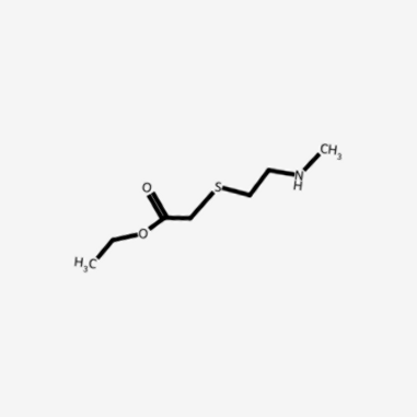 CCOC(=O)CSCCNC